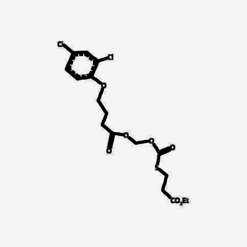 CCOC(=O)CCSC(=O)OCOC(=O)CCCOc1ccc(Cl)cc1Cl